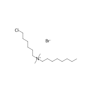 CCCCCCCC[N+](C)(C)CCCCCCCl.[Br-]